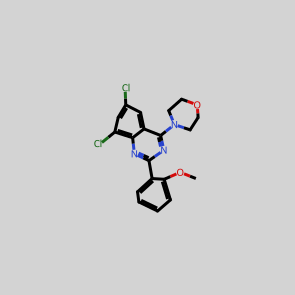 COc1ccccc1-c1nc(N2CCOCC2)c2cc(Cl)cc(Cl)c2n1